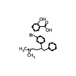 CN(C)CCC(Cc1ccccc1)c1cccc(Br)c1.O=C(O)c1ccccc1O